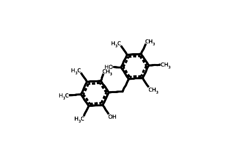 Cc1c(C)c(C)c(Cc2c(C)c(C)c(C)c(C)c2O)c(O)c1C